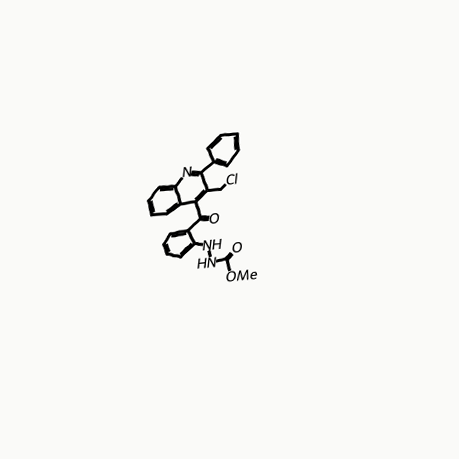 COC(=O)NNc1ccccc1C(=O)c1c(CCl)c(-c2ccccc2)nc2ccccc12